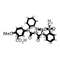 COc1ccc(N(C(=O)n2nnn(-c3ccccc3S(C)(=O)=O)c2=O)C2CCCCC2)cc1C(=O)O